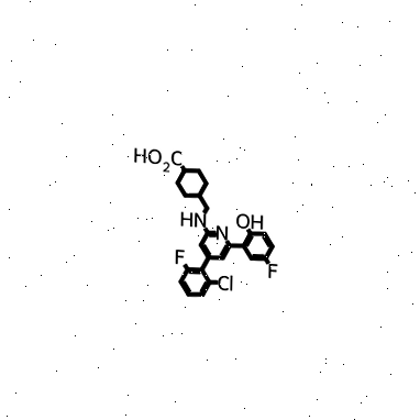 O=C(O)C1CCC(CNc2cc(-c3c(F)cccc3Cl)cc(-c3cc(F)ccc3O)n2)CC1